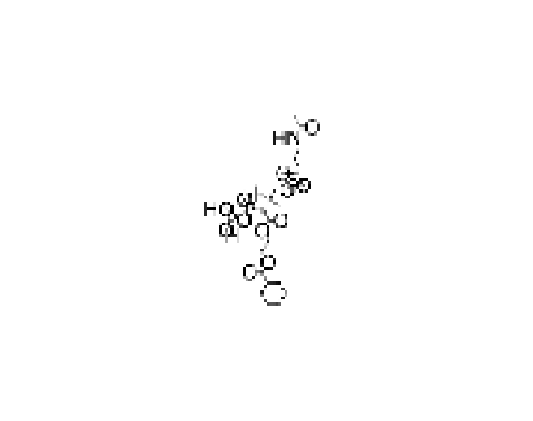 CC(=O)NCCCS(=O)(=O)OCC(C)(C)[C@H](C(=O)OCCOC(=O)C1CCCCC1)[PH](=O)O[PH](=O)O